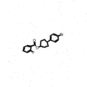 O=C(OC1CCC(c2ccc(Br)cc2)CC1)c1ccccc1F